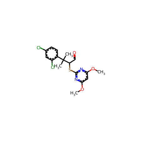 COc1cc(OC)nc(SC(C=O)C(C)(C)c2ccc(Cl)cc2Cl)n1